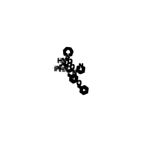 CC(C)C[C@H](NC(=O)N1CCCCCC1)C(=O)N[C@@H](Cc1ccc(OCc2ccccc2)cc1)C(=O)Nc1cccnc1